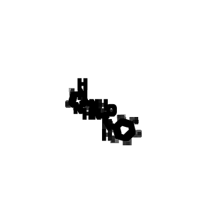 O=C(NNc1ncc[nH]1)Nc1ccccc1